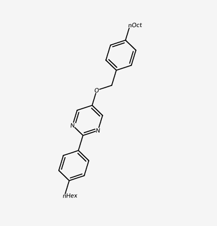 CCCCCCCCc1ccc(COc2cnc(-c3ccc(CCCCCC)cc3)nc2)cc1